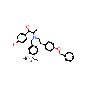 CC(C(=O)C1=CCC(=O)C=C1)N(CCc1ccc(OCc2ccccc2)cc1)Cc1ccccc1.CS(=O)(=O)O